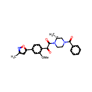 COc1cc(-c2cc(C)no2)ccc1C(=O)C(=O)N1CCN(C(=O)c2ccccc2)C[C@H]1C